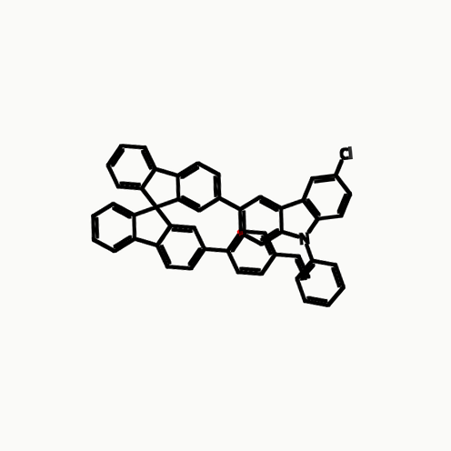 C=Cc1ccc(-c2ccc3c(c2)C2(c4ccccc4-3)c3ccccc3-c3ccc(-c4ccc5c(c4)c4cc(Cl)ccc4n5-c4ccccc4)cc32)cc1